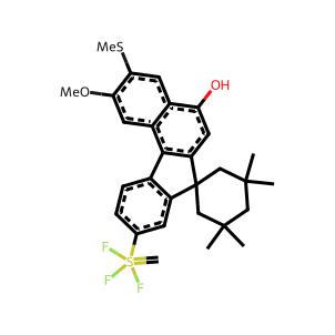 C=S(F)(F)(F)c1ccc2c(c1)C1(CC(C)(C)CC(C)(C)C1)c1cc(O)c3cc(SC)c(OC)cc3c1-2